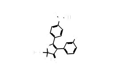 C[S+]([O-])c1ccc(C2=C(c3cccc(Cl)c3)C(=O)C(C)(C)O2)cc1